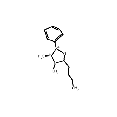 CCCCB1O[C@H](c2ccccc2)[C@H](C)N1C